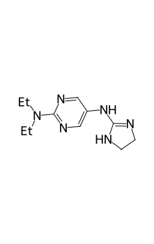 CCN(CC)c1ncc(NC2=NCCN2)cn1